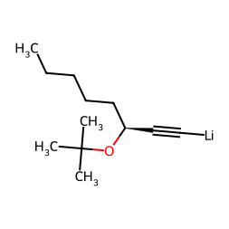 [Li][C]#C[C@H](CCCCC)OC(C)(C)C